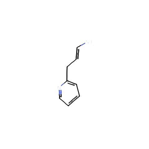 NC=CCc1ccccn1